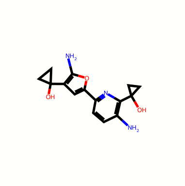 Nc1ccc(-c2cc(C3(O)CC3)c(N)o2)nc1C1(O)CC1